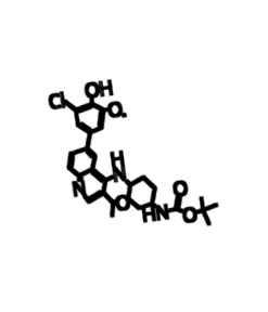 COc1cc(-c2ccc3ncc(C(C)=O)c(NC4CCC(NC(=O)OC(C)(C)C)CC4)c3c2)cc(Cl)c1O